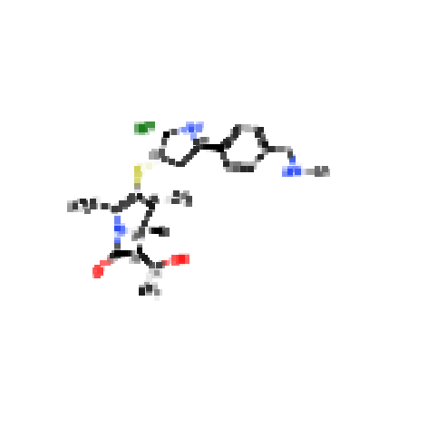 C[C@@H](O)[C@H]1C(=O)N2C(C(=O)O)=C(S[C@@H]3CN[C@@H](c4ccc(CNC#N)cc4)C3)[C@H](C)[C@H]12.Cl